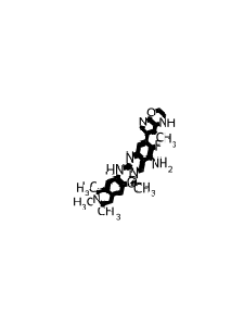 COc1cc2c(cc1Nc1ncc3c(N)c(F)c(-c4cnc5c(c4C)NCCO5)cc3n1)C(C)N(C)C(C)C2